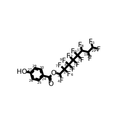 O=C(OC(F)C(F)(F)C(F)(F)C(F)(F)C(F)(F)C(F)C(F)C(F)F)c1ccc(O)cc1